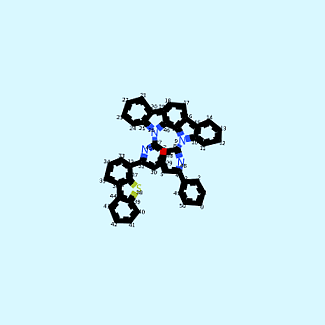 c1ccc(-c2cccc(-n3c4ccccc4c4ccc5c6ccccc6n(-c6cccc(-c7cccc8c7sc7ccccc78)n6)c5c43)n2)cc1